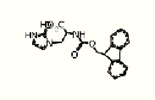 O=C(NC(Cn1cc[nH]c1=O)C(=O)O)OCC1c2ccccc2-c2ccccc21